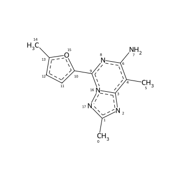 Cc1nc2c(C)c(N)nc(-c3ccc(C)o3)n2n1